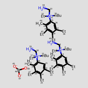 CCCC[N+](CC)(CN)c1cc(CC)c(CC)c(CC)c1C.CCCC[N+](CC)(CN)c1cc(CC)c(CC)c(CC)c1C.CCCC[N+](CC)(CN)c1cc(CC)c(CC)c(CC)c1C.[O-]B([O-])[O-]